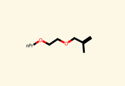 [CH2]CCOCCOCC(=C)C